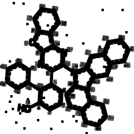 Oc1cccc(-c2nc3oc4ccccc4c3nc2-n2c3cc4ccccc4cc3c3c4ccccc4ccc32)c1-c1ccccc1